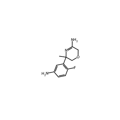 CC1(c2cc(N)ccc2F)COCC(N)=N1